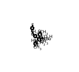 Cc1ccc(Nc2nc(C)c(C(OC(C)(C)C)C(=O)O)c(N3CCC(C)(C)CC3)c2-c2ccc(OCCc3ccc(F)cc3)cc2)c(C)n1